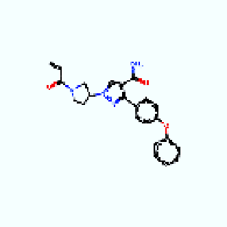 C=CC(=O)N1CCC(n2cc(C(N)=O)c(-c3ccc(Oc4ccccc4)cc3)n2)C1